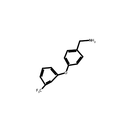 NCc1ccc(Oc2cccc(C(F)(F)F)c2)cc1